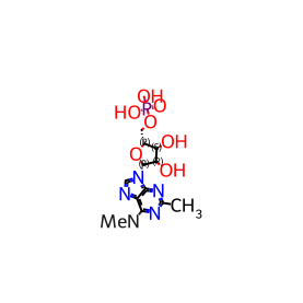 CNc1nc(C)nc2c1ncn2[C@@H]1O[C@H](COP(=O)(O)O)[C@@H](O)[C@H]1O